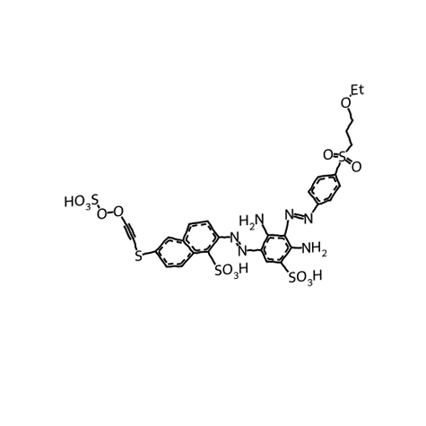 CCOCCCS(=O)(=O)c1ccc(N=Nc2c(N)c(N=Nc3ccc4cc(SC#COOS(=O)(=O)O)ccc4c3S(=O)(=O)O)cc(S(=O)(=O)O)c2N)cc1